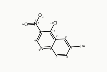 O=[N+]([O-])c1cnc2ccc(I)cc2c1Cl